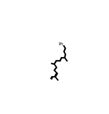 C=CC(C)=CCCC(C)CCCC(C)CCCC(C)C